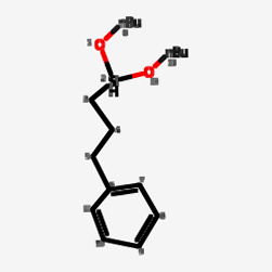 CCCCO[SiH](CCCc1ccccc1)OCCCC